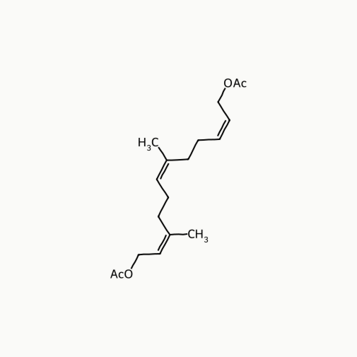 CC(=O)OC/C=C\CC/C(C)=C\CC/C(C)=C\COC(C)=O